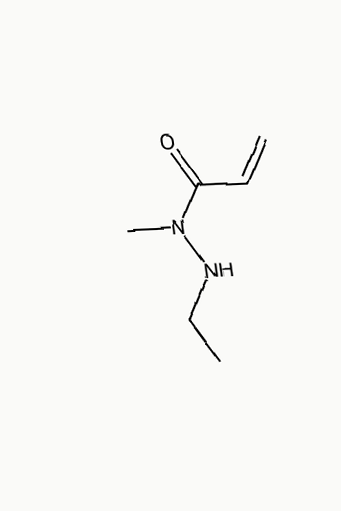 C=CC(=O)N(C)NCC